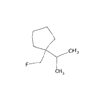 CC(C)C1(CF)CCCC1